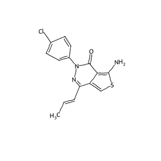 C/C=C/c1nn(-c2ccc(Cl)cc2)c(=O)c2c(N)scc12